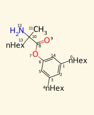 CCCCCCc1cc(CCCCCC)cc(OC(=O)C(C)(N)CCCCCC)c1